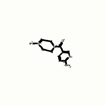 CC(C)N1CCN(C(=O)c2ccc(N)nc2)CC1